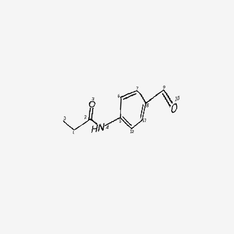 CCC(=O)Nc1ccc(C=O)cc1